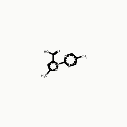 Cc1cnc(-n2nc(C)cc2C(=O)O)nc1